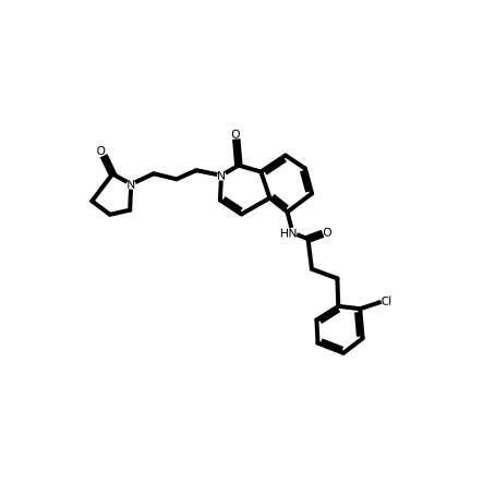 O=C(CCc1ccccc1Cl)Nc1cccc2c(=O)n(CCCN3CCCC3=O)ccc12